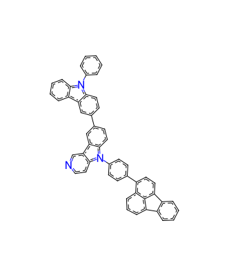 c1ccc(-n2c3ccccc3c3cc(-c4ccc5c(c4)c4cnccc4n5-c4ccc(-c5ccc6c7c(cccc57)-c5ccccc5-6)cc4)ccc32)cc1